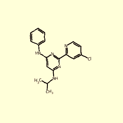 CC(C)Nc1cc(Nc2ccccc2)nc(-c2cc(Cl)ccn2)n1